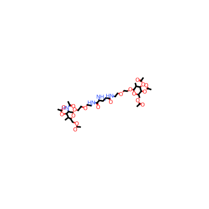 CC(=O)NC1C(OCCOCCNC(=O)C(N)CCC(=O)NCCOCCOC2OC(COC(C)=O)C(OC(C)=O)C(OC(C)=O)C2C)OC(COC(C)=O)C(C)C1OC(C)=O